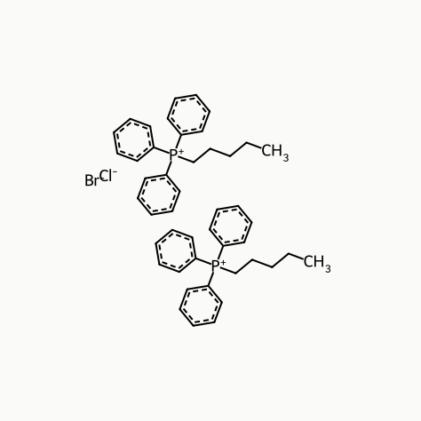 CCCCC[P+](c1ccccc1)(c1ccccc1)c1ccccc1.CCCCC[P+](c1ccccc1)(c1ccccc1)c1ccccc1.[Br-].[Cl-]